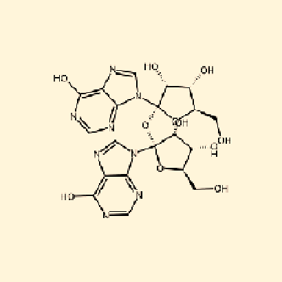 OC[C@H]1O[C@@](O[C@@]2(n3cnc4c(O)ncnc43)O[C@H](CO)[C@@H](O)[C@H]2O)(n2cnc3c(O)ncnc32)[C@H](O)[C@@H]1O